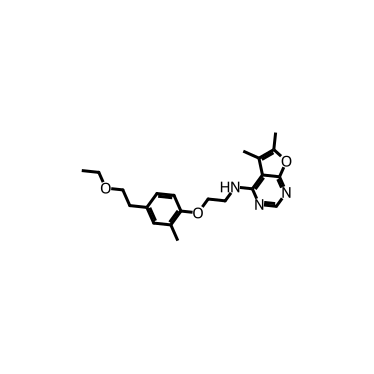 CCOCCc1ccc(OCCNc2ncnc3oc(C)c(C)c23)c(C)c1